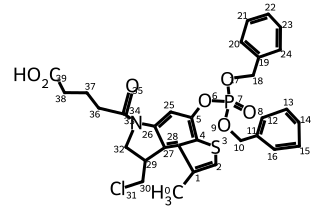 Cc1csc2c(OP(=O)(OCc3ccccc3)OCc3ccccc3)cc3c(c12)C(CCl)CN3C(=O)CCCC(=O)O